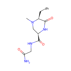 CC(C)C[C@H]1C(=O)N[C@@H](C(=O)NCC(N)=O)CN1C